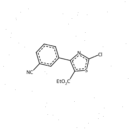 CCOC(=O)c1sc(Cl)nc1-c1cccc(C#N)c1